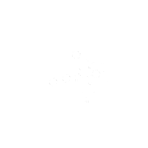 [2H]C1=C(SCc2cccc(F)c2F)N(C([2H])([2H])C(=O)N(C2CCN(CC([2H])([2H])OC([2H])([2H])[2H])CC2)C([2H])([2H])c2ccc(-c3ccc(C(F)(F)F)cc3)cc2)c2c([2H])c([2H])c(C)c([2H])c2C1O